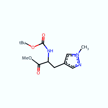 COC(=O)C(Cc1cnn(C)c1)NC(=O)OC(C)(C)C